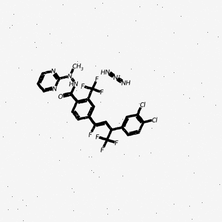 CN(NC(=O)c1ccc(/C(F)=C/C(c2ccc(Cl)c(Cl)c2)C(F)(F)F)cc1C(F)(F)F)c1ncccn1.N=[N+]=N